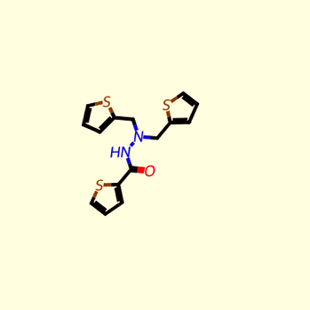 O=C(NN(Cc1cccs1)Cc1cccs1)c1cccs1